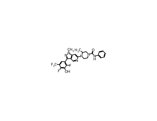 CC1CN(C(=O)Nc2ccccc2)CCN1c1cc2c(cn1)c(-c1cc(C(F)(F)F)c(F)c(O)c1F)nn2C